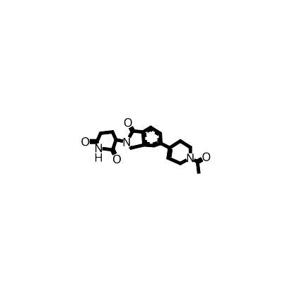 CC(=O)N1CC=C(c2ccc3c(c2)CN(C2CCC(=O)NC2=O)C3=O)CC1